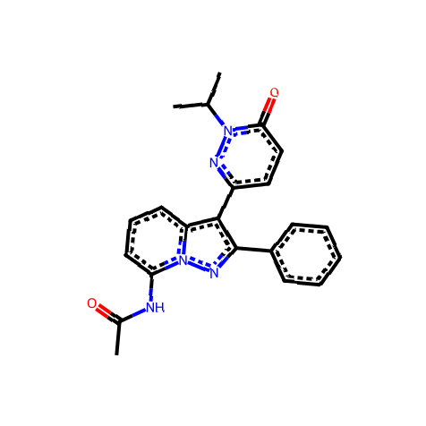 CC(=O)Nc1cccc2c(-c3ccc(=O)n(C(C)C)n3)c(-c3ccccc3)nn12